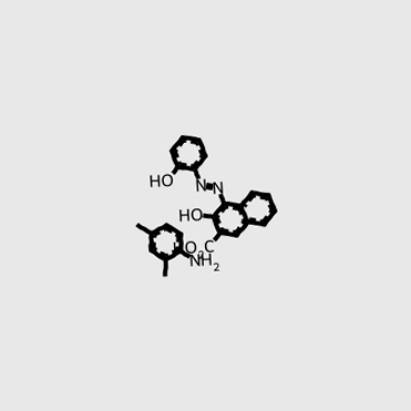 Cc1ccc(N)c(C)c1.O=C(O)c1cc2ccccc2c(N=Nc2ccccc2O)c1O